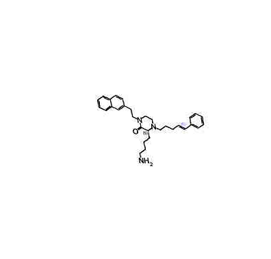 NCCCC[C@H]1C(=O)N(CCc2ccc3ccccc3c2)CCN1CCC/C=C/c1ccccc1